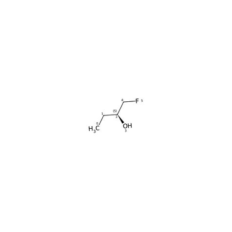 CC[C@H](O)CF